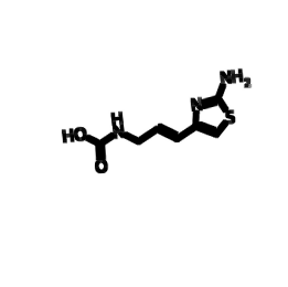 Nc1nc(C=CCNC(=O)O)cs1